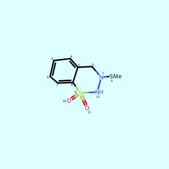 CSN1Cc2ccccc2S(=O)(=O)N1